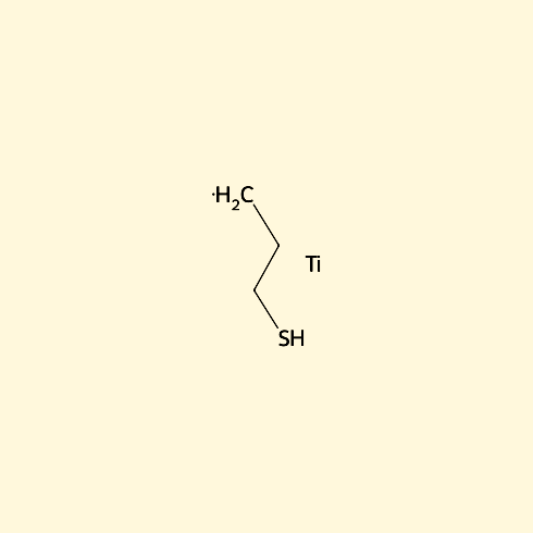 [CH2]CCS.[Ti]